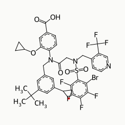 CC(C)(C)c1cc(CN(C(=O)CN(Cc2ccncc2C(F)(F)F)S(=O)(=O)c2c(F)c(F)c(F)c(F)c2Br)c2ccc(C(=O)O)cc2OC2CC2)cc(C2CC2)c1